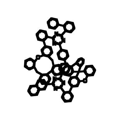 c1ccc(-c2nc(-c3ccc4ccccc4c3)nc(-c3ccccc3-c3ccc4c(c3)Oc3ccccc3C43c4ccccc4-c4c(-c5ccc(-c6nc(-c7ccccc7-c7ccccc7)nc(-c7ccccc7-c7ccc8c(c7)Oc7ccccc7Cc7ccccc7-c7ccccc7C8)n6)cc5)cccc43)n2)cc1